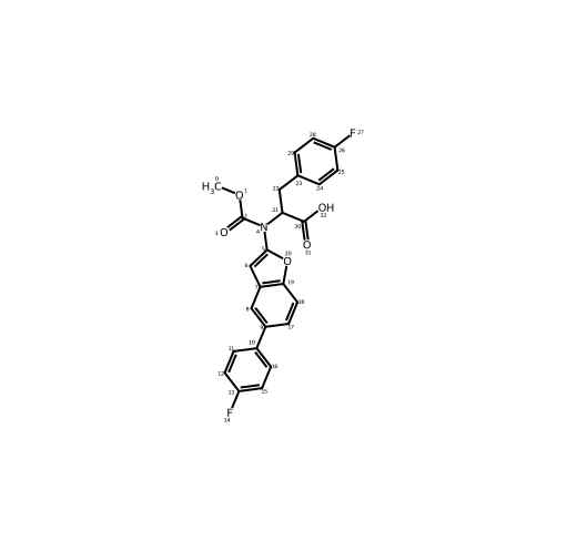 COC(=O)N(c1cc2cc(-c3ccc(F)cc3)ccc2o1)C(Cc1ccc(F)cc1)C(=O)O